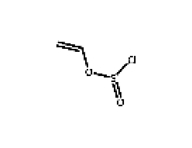 C=COS(=O)Cl